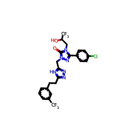 O=c1n(Cc2nnc(CCc3cccc(C(F)(F)F)c3)[nH]2)nc(-c2ccc(Cl)cc2)n1CC(O)C(F)(F)F